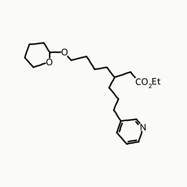 CCOC(=O)CC(CCCCOC1CCCCO1)CCCc1cccnc1